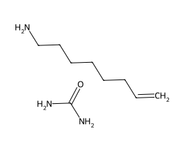 C=CCCCCCCN.NC(N)=O